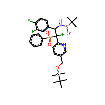 CC(C)(C)[S+]([O-])NC(c1ccc(F)c(F)c1)C(F)(c1ccc(CO[Si](C)(C)C(C)(C)C)cn1)S(=O)(=O)c1ccccc1